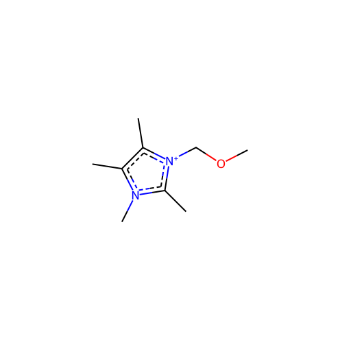 COC[n+]1c(C)c(C)n(C)c1C